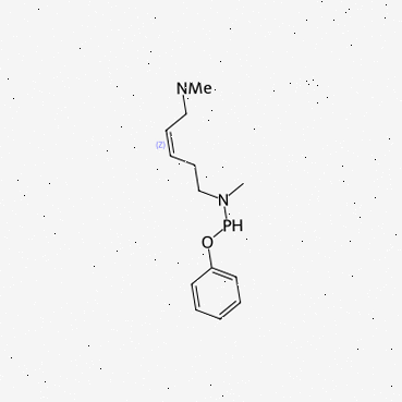 CNC/C=C\CCN(C)POc1ccccc1